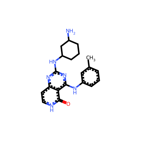 Cc1cccc(Nc2nc(NC3CCCC(N)C3)nc3cc[nH]c(=O)c23)c1